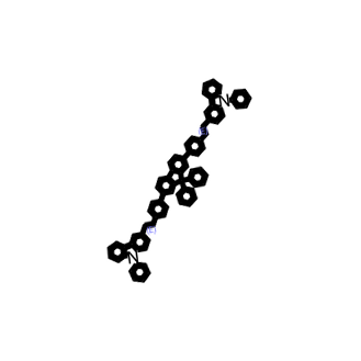 C(=C\c1ccc2c(c1)c1ccccc1n2-c1ccccc1)/c1ccc(-c2ccc3c(c2)C(c2ccccc2)(c2ccccc2)c2cc(-c4ccc(/C=C/c5ccc6c(c5)c5ccccc5n6-c5ccccc5)cc4)ccc2-3)cc1